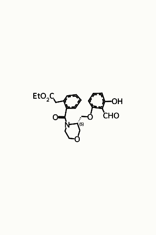 CCOC(=O)Cc1ccccc1C(=O)N1CCOC[C@H]1COc1cccc(O)c1C=O